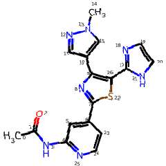 CC(=O)Nc1cc(-c2nc(-c3cnn(C)c3)c(-c3ncc[nH]3)s2)ccn1